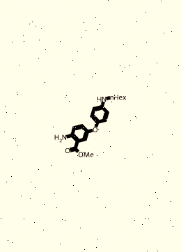 CCCCCCNc1ccc(Oc2ccc(N)c(C(=O)OC)c2)cc1